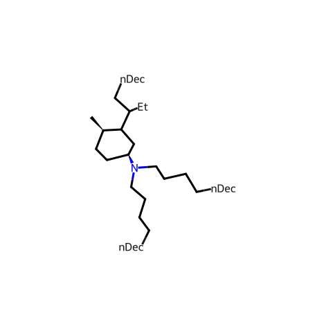 CCCCCCCCCCCCCCN(CCCCCCCCCCCCCC)[C@H]1CC[C@@H](C)C(C(CC)CCCCCCCCCCC)C1